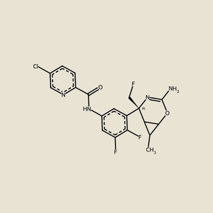 CC1C2OC(N)=N[C@@](CF)(c3cc(NC(=O)c4ccc(Cl)cn4)cc(F)c3F)C12